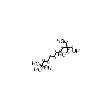 OCC(CO)(CO)CCCCCCCC(O)(O)O